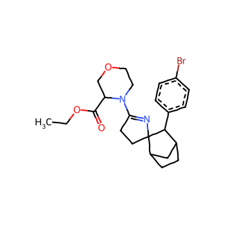 CCOC(=O)C1COCCN1C1=NC2(CC1)C1CCC(C1)C2c1ccc(Br)cc1